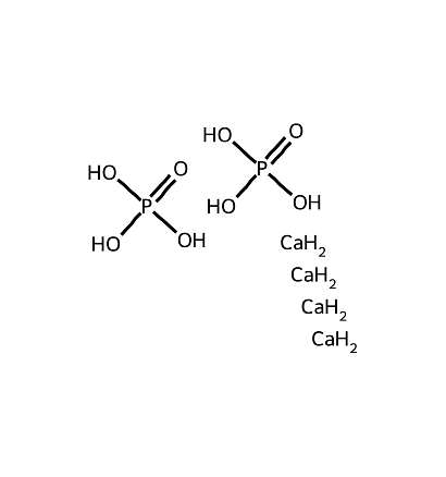 O=P(O)(O)O.O=P(O)(O)O.[CaH2].[CaH2].[CaH2].[CaH2]